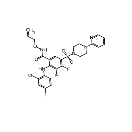 C=CCONC(=O)c1cc(S(=O)(=O)N2CCN(c3ccccn3)CC2)c(F)c(F)c1Nc1ccc(I)cc1Cl